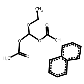 CCOC(OC(C)=O)OC(C)=O.c1ccc2ccccc2c1